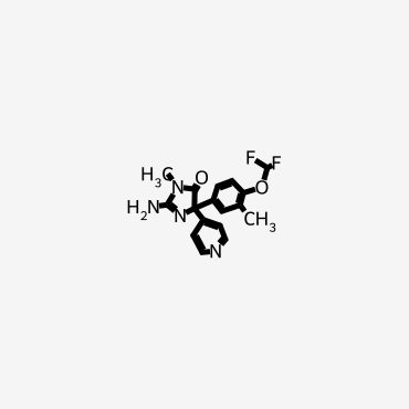 Cc1cc(C2(c3ccncc3)N=C(N)N(C)C2=O)ccc1OC(F)F